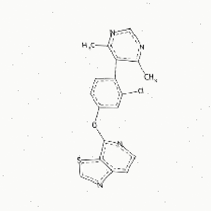 Cc1ncnc(C)c1-c1ccc(Oc2nccc3ncsc23)cc1Cl